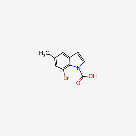 Cc1cc(Br)c2c(ccn2C(=O)O)c1